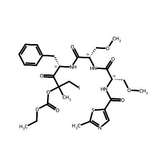 CCOC(=O)OC(C)(CI)C(=O)[C@H](Cc1ccccc1)NC(=O)[C@H](COC)NC(=O)[C@H](COC)NC(=O)c1cnc(C)s1